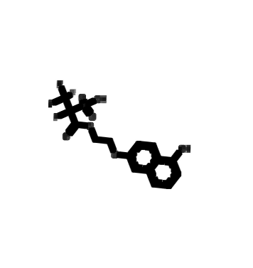 O=C(OCCOc1ccc2c(O)cccc2c1)C(F)(C(F)(F)F)S(=O)(=O)O